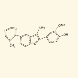 [CH2]c1ccccc1-c1ccc2oc(-c3ccc(O)c(OC)c3)c(SC)c2c1